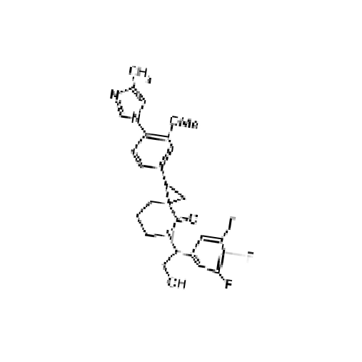 COc1cc(C2CC23CCCN(C(CO)c2cc(F)c(F)c(F)c2)C3=O)ccc1-n1cnc(C)c1